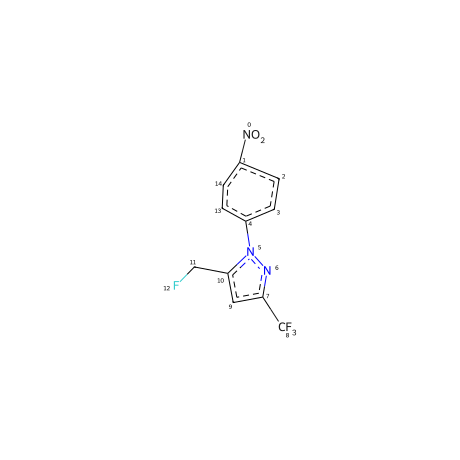 O=[N+]([O-])c1ccc(-n2nc(C(F)(F)F)cc2CF)cc1